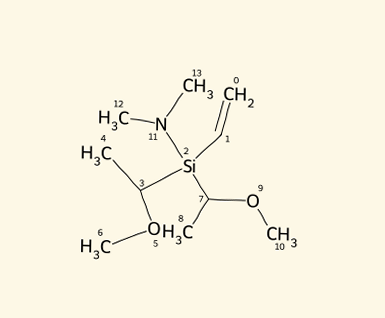 C=C[Si](C(C)OC)(C(C)OC)N(C)C